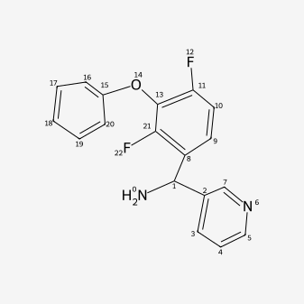 NC(c1cccnc1)c1ccc(F)c(Oc2ccccc2)c1F